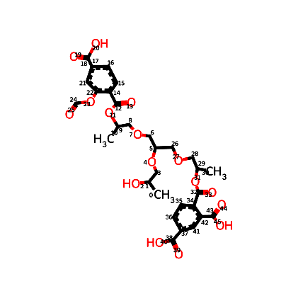 CC(O)COC(COCC(C)OC(=O)c1ccc(C(=O)O)cc1OC=O)COCC(C)OC(=O)c1ccc(C(=O)O)cc1C(=O)O